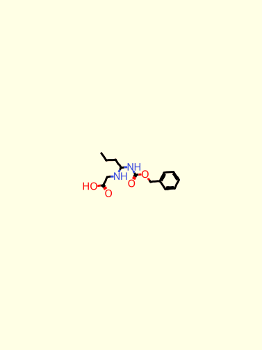 CCCC(NCC(=O)O)NC(=O)OCc1ccccc1